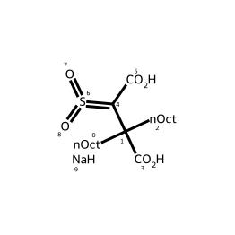 CCCCCCCCC(CCCCCCCC)(C(=O)O)C(C(=O)O)=S(=O)=O.[NaH]